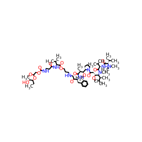 CCC(CO)OC(COC(=O)NCCC(=O)N[C@H](C(=O)OCCCNCC(=O)[C@H](Cc1ccccc1)NC(=O)[C@H](C)[C@@H](OC)[C@@H]1CCCN1C(=O)C[C@@H](OC)[C@H]([C@@H](C)CC)N(C)C(=O)[C@@H](NC(=O)[C@H](C(C)C)N(C)C)C(C)C)C(C)C)OC